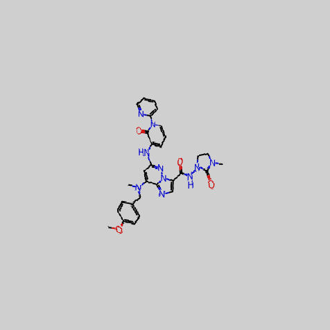 COc1ccc(CN(C)c2cc(Nc3cccn(-c4ccccn4)c3=O)nn3c(C(=O)NN4CCN(C)C4=O)cnc23)cc1